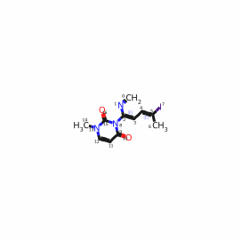 C=N/C(=C\C=C(/C)I)n1c(=O)ccn(C)c1=O